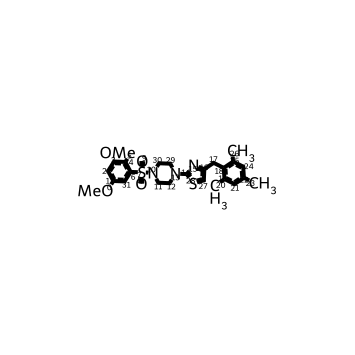 COc1ccc(OC)c(S(=O)(=O)N2CCN(c3nc(Cc4c(C)cc(C)cc4C)cs3)CC2)c1